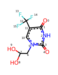 O=c1[nH]c(=O)n(CC(O)O)cc1C(F)(F)F